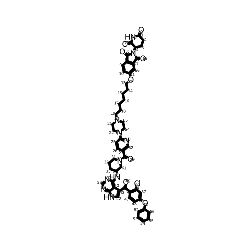 O=C1CCC(N2C(=O)c3ccc(OCCCCCCCN4CCN(c5ccc(C(=O)N6CCC[C@@H](Nc7ncnc8[nH]cc(C(=O)c9ccc(Oc%10ccccc%10)cc9Cl)c78)C6)cn5)CC4)cc3C2=O)C(=O)N1